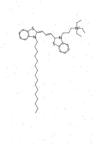 CCCCCCCCCCCCCCCCN1C(=CC=CC2Sc3ccccc3N2CCC[N+](CC)(CC)CC)Sc2ccccc21